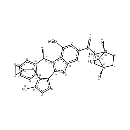 COc1cc(C(=O)N2C[C@H]3CC[C@@H]2[C@@H]3N)cc2nc(-c3ccc(C#N)n3CC3CC3)n([C@H](C)c3ccccn3)c12